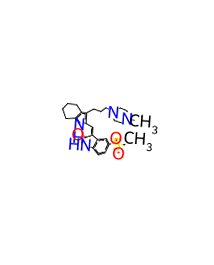 CCS(=O)(=O)c1ccc2c(c1)/C(=C/c1[nH]c3c(c1CCCN1CCN(C)CC1)CCCC3)C(=O)N2